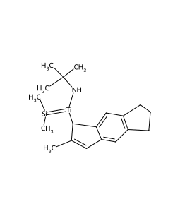 CC1=Cc2cc3c(cc2[CH]1[Ti]([NH]C(C)(C)C)=[Si](C)C)CCC3